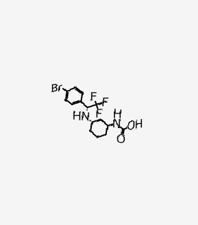 O=C(O)NC1CCC[C@H](N[C@H](c2ccc(Br)cc2)C(F)(F)F)C1